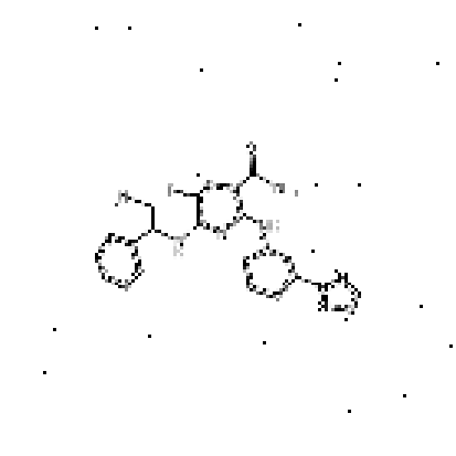 NCC(Nc1nc(Nc2cccc(-n3nccn3)c2)c(C(N)=O)cc1F)c1ccccc1